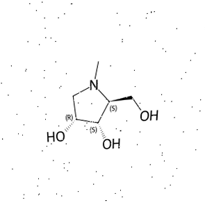 CN1C[C@@H](O)[C@@H](O)[C@@H]1CO